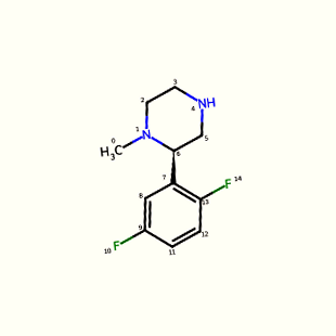 CN1CCNC[C@H]1c1cc(F)ccc1F